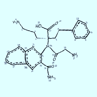 NCCC[C@@](CCc1ccccc1)(C(=O)O)N(C(=O)CN)c1nc2ccccc2cc1C(N)=O